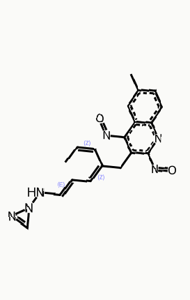 C\C=C/C(=C\C=C\NN1C=N1)Cc1c(N=O)nc2ccc(C)cc2c1N=O